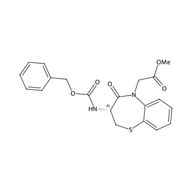 COC(=O)CN1C(=O)[C@@H](NC(=O)OCc2ccccc2)CSc2ccccc21